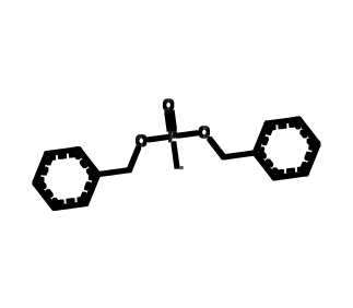 [CH2]P(=O)(OCc1ccccc1)OCc1ccccc1